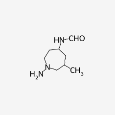 CC1CC(NC=O)CCN(N)C1